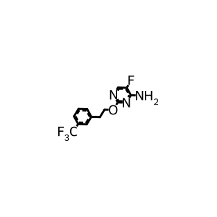 Nc1nc(OCCc2cccc(C(F)(F)F)c2)ncc1F